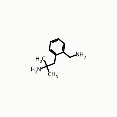 CC(C)(N)Cc1ccccc1CN